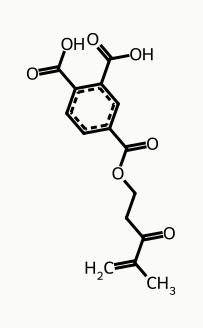 C=C(C)C(=O)CCOC(=O)c1ccc(C(=O)O)c(C(=O)O)c1